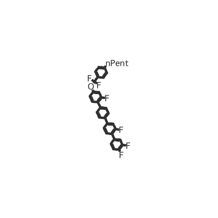 CCCCCc1ccc(C(F)(F)Oc2ccc(-c3ccc(-c4ccc(-c5ccc(F)c(F)c5)c(F)c4)cc3)c(F)c2)cc1